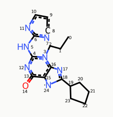 CCCn1c(Nc2ncccn2)nc(=O)c2c1N=C(C1CCCC1)[N]2